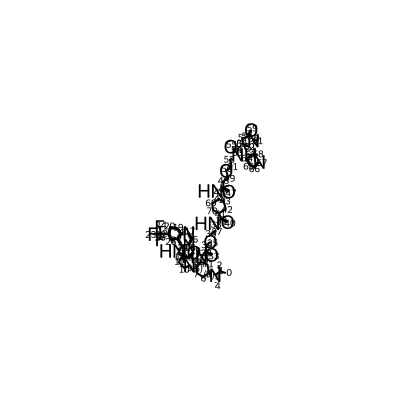 CC(C)N(C)[C@@H]1CC[C@H](N2CC[C@H](Nc3ncnc4ccc(C(F)(F)F)cc34)C2=O)[C@H](NC(=O)COCCNC(=O)C2CCC(NC(=O)CCOCCNC(=O)[C@H]3CC(=O)N(C)[C@@H]3c3cccnc3)CC2)C1